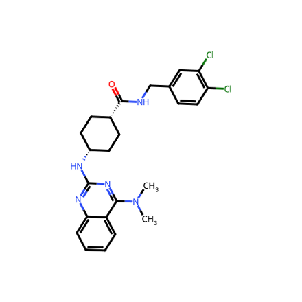 CN(C)c1nc(N[C@H]2CC[C@@H](C(=O)NCc3ccc(Cl)c(Cl)c3)CC2)nc2ccccc12